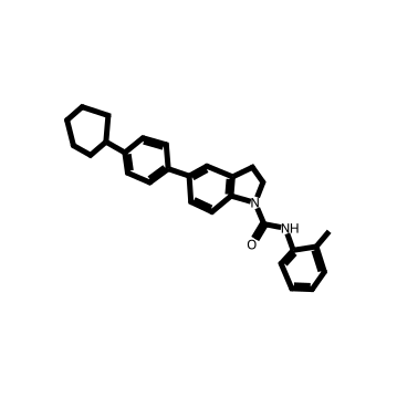 Cc1ccccc1NC(=O)N1CCc2cc(-c3ccc(C4CCCCC4)cc3)ccc21